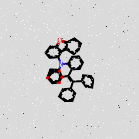 c1ccc(C(=C(c2ccccc2)c2ccccc2N(c2ccccc2)c2cccc3oc4ccccc4c23)c2ccccc2)cc1